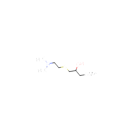 COCC(O)CSCCN(C)C